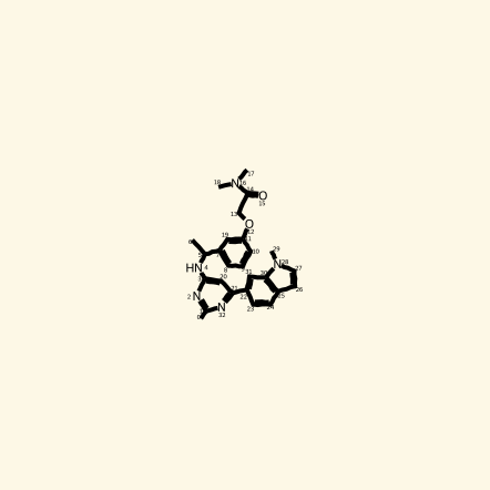 Cc1nc(NC(C)c2cccc(OCC(=O)N(C)C)c2)cc(-c2ccc3ccn(C)c3c2)n1